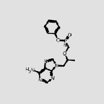 CC(Cn1cnc2c(N)ncnc21)OC[PH](=O)Oc1ccccc1